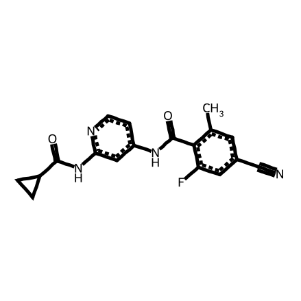 Cc1cc(C#N)cc(F)c1C(=O)Nc1ccnc(NC(=O)C2CC2)c1